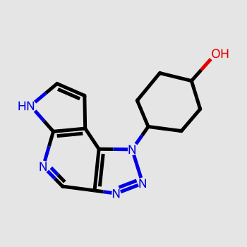 OC1CCC(n2nnc3cnc4[nH]ccc4c32)CC1